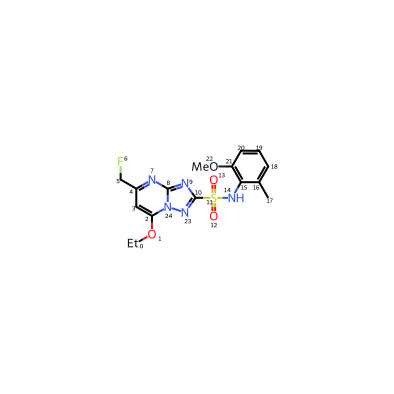 CCOc1cc(CF)nc2nc(S(=O)(=O)Nc3c(C)cccc3OC)nn12